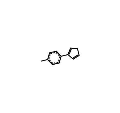 Cc1ccc(C2=CCC=C2)cc1